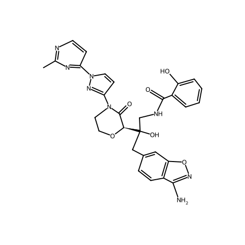 Cc1nccc(-n2ccc(N3CCO[C@H](C(O)(CNC(=O)c4ccccc4O)Cc4ccc5c(N)noc5c4)C3=O)n2)n1